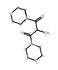 C[C](C(=O)N1CCOCC1)C(=O)N1CCSCC1